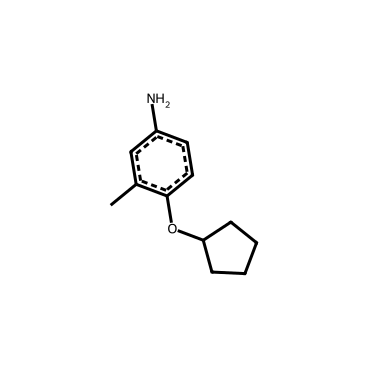 Cc1cc(N)ccc1OC1CCCC1